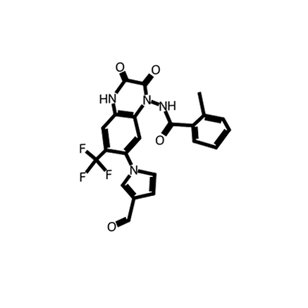 Cc1ccccc1C(=O)Nn1c(=O)c(=O)[nH]c2cc(C(F)(F)F)c(-n3ccc(C=O)c3)cc21